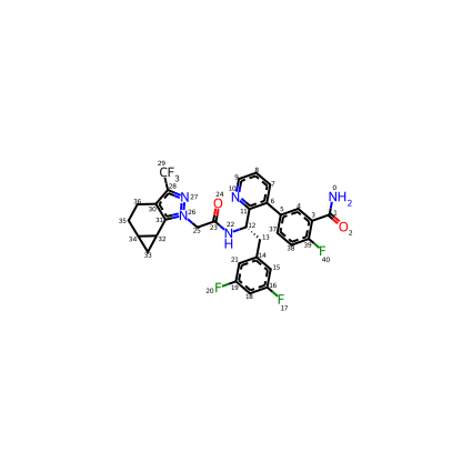 NC(=O)c1cc(-c2cccnc2[C@H](Cc2cc(F)cc(F)c2)NC(=O)Cn2nc(C(F)(F)F)c3c2C2CC2CC3)ccc1F